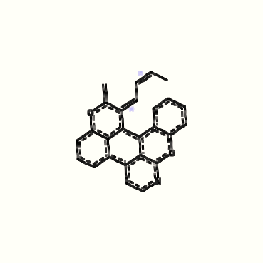 C=c1oc2cccc3c4ccnc5oc6ccccc6c(c(/c1=C/C=C\C)c23)c54